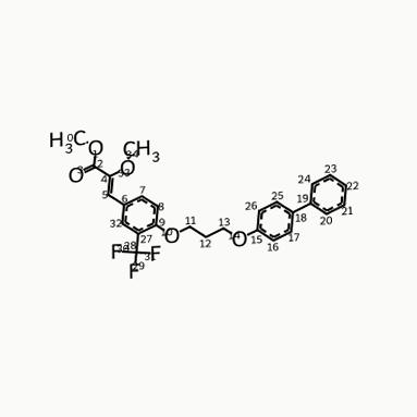 COC(=O)C(=Cc1ccc(OCCCOc2ccc(-c3ccccc3)cc2)c(C(F)(F)F)c1)OC